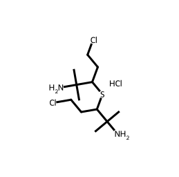 CC(C)(N)C(CCCl)SC(CCCl)C(C)(C)N.Cl